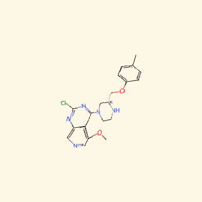 COc1cncc2nc(Cl)nc(N3CCN[C@@H](COc4ccc(C)cc4)C3)c12